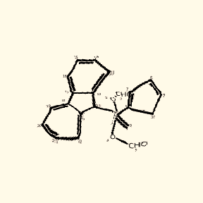 [CH2]=[Ti]([O]C=O)([O]C=O)([C]1=CC=CC1)[CH]1c2ccccc2-c2ccccc21